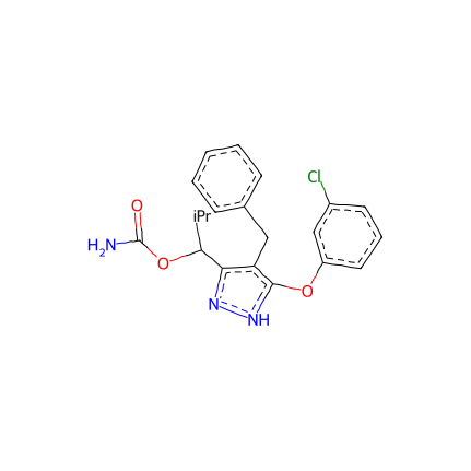 CC(C)C(OC(N)=O)c1n[nH]c(Oc2cccc(Cl)c2)c1Cc1ccccc1